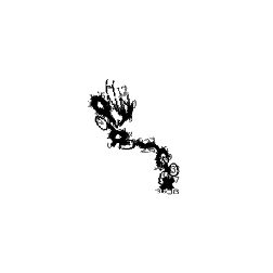 Cc1cc(C(=O)N2Cc3ccn(C)c3Nc3ccccc32)ccc1OCCCC1CCN(C(=O)OC(C)(C)C)CC1